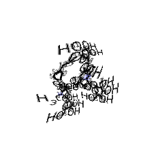 C/C=C1/C(CC(=O)Oc2ccc(CCOC3OC(COC(=O)C[C@@H]4C(C(=O)OC)=CO[C@@H](OC5OC(CO)C(O)C(O)C5O)/C4=C/C)C(O)C(O)C3O)cc2)C(C(=O)OC)=CO[C@H]1OC1OC(CO)C(O)C(O)C1O